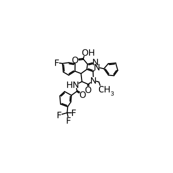 CCN1C(=O)C(NC(=O)c2cccc(C(F)(F)F)c2)C(c2ccc(F)cc2)c2c(C(=O)O)nn(-c3ccccc3)c21